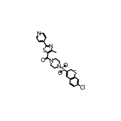 Cc1nc(-c2ccncc2)sc1C(=O)N1CCN(S(=O)(=O)C2=Cc3ccc(Cl)cc3SC2)CC1